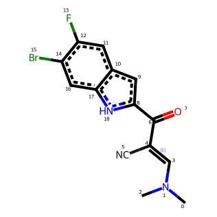 CN(C)/C=C(\C#N)C(=O)c1cc2cc(F)c(Br)cc2[nH]1